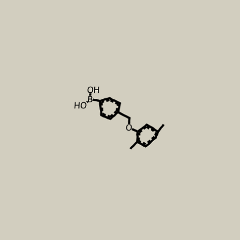 Cc1ccc(C)c(OCc2ccc(B(O)O)cc2)c1